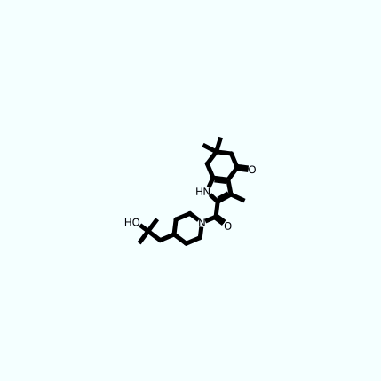 Cc1c(C(=O)N2CCC(CC(C)(C)O)CC2)[nH]c2c1C(=O)CC(C)(C)C2